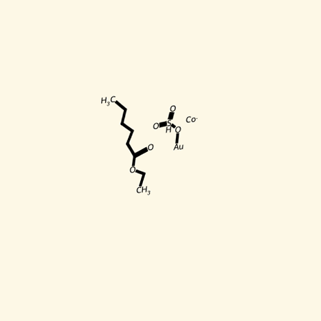 CCCCCC(=O)OCC.O=[SH](=O)[O][Au].[Co]